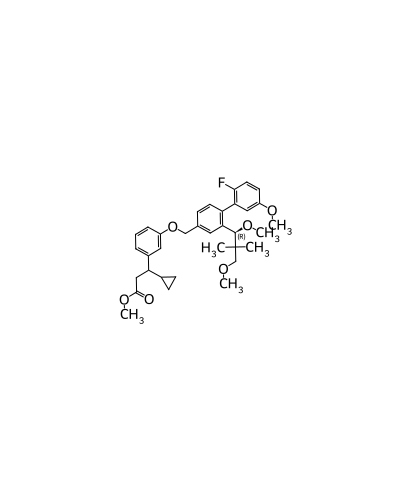 COCC(C)(C)[C@H](OC)c1cc(COc2cccc(C(CC(=O)OC)C3CC3)c2)ccc1-c1cc(OC)ccc1F